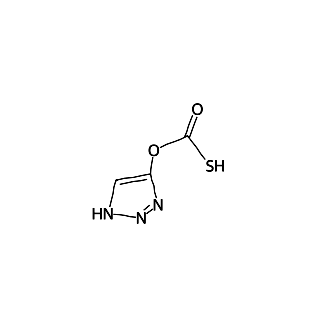 O=C(S)Oc1c[nH]nn1